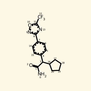 NC(=O)C(c1ccc(-c2noc(C(F)(F)F)n2)cc1)C1CCCC1